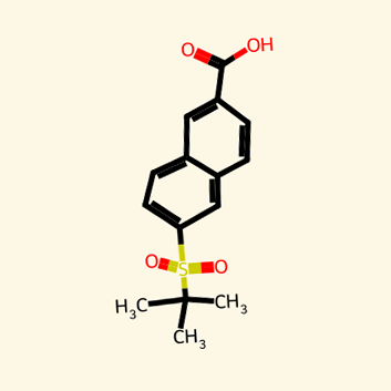 CC(C)(C)S(=O)(=O)c1ccc2cc(C(=O)O)ccc2c1